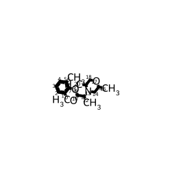 Cc1cccc(C)c1OC(=O)C(C)N1CC(C)OCC1C